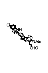 CNC(=O)C(CCC=O)N1Cc2cc(CNC(=O)Nc3ccc(Cl)cc3C(F)(F)F)sc2C1=O